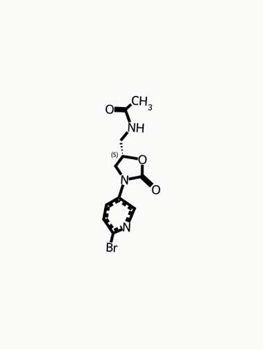 CC(=O)NC[C@H]1CN(c2ccc(Br)nc2)C(=O)O1